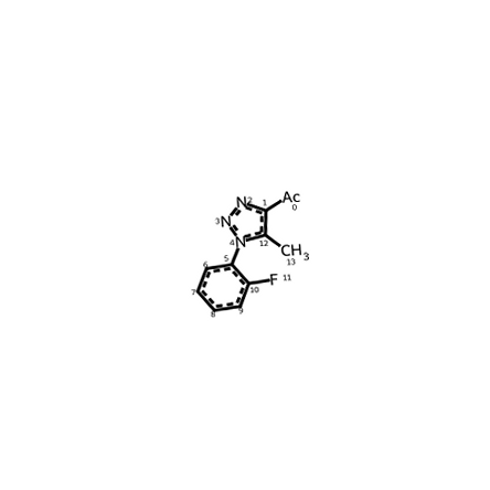 CC(=O)c1nnn(-c2ccccc2F)c1C